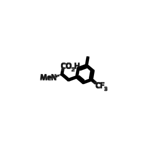 CN[C@@H](Cc1cc(C)cc(C(F)(F)F)c1)C(=O)O